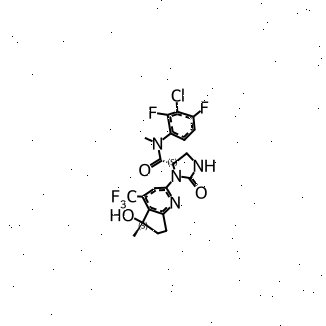 CN(C(=O)[C@@H]1CNC(=O)N1c1cc(C(F)(F)F)c2c(n1)CC[C@]2(C)O)c1ccc(F)c(Cl)c1F